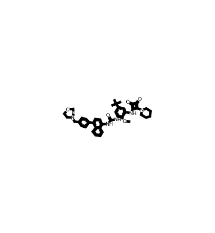 COc1c(NC(=O)Nc2ccc(-c3ccc(CN4CCOCC4)cc3)c3ccccc23)cc(C(C)(C)C)cc1Nc1c(N2CCCCC2)c(=O)c1=O